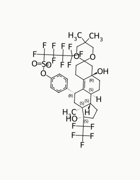 CC1(C)COC2(CCC3=C4[C@@H](CC[C@@]3(O)C2)[C@@H]2CC[C@@](O)(C(F)(F)C(F)(F)F)[C@@]2(C)C[C@@H]4c2ccc(OS(=O)(=O)C(F)(F)C(F)(F)C(F)(F)C(F)(F)F)cc2)OC1